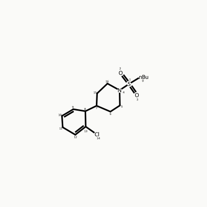 CCCCS(=O)(=O)N1CCC(C2C=CCC=C2Cl)CC1